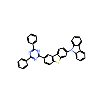 c1ccc(-c2nc(-c3ccccc3)nc(-c3ccc4sc5cc(-n6c7ccccc7c7ccccc76)ccc5c4c3)n2)cc1